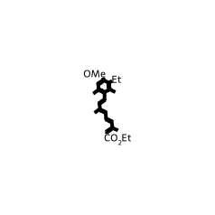 CCOC(=O)C=C(C)C=CC=C(C)C=Cc1c(C)cc(OC)c(CC)c1C